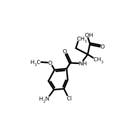 CCC(C)(NC(=O)c1cc(Cl)c(N)cc1OC)C(=O)O